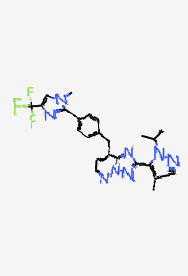 Cc1cnn(C(C)C)c1-c1nc2c(Cc3ccc(-c4nc(C(F)(F)F)cn4C)cc3)ccnn2n1